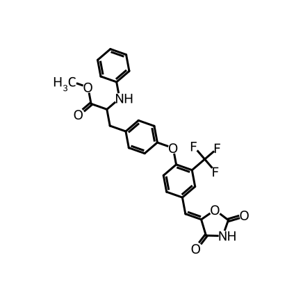 COC(=O)C(Cc1ccc(Oc2ccc(/C=C3\OC(=O)NC3=O)cc2C(F)(F)F)cc1)Nc1ccccc1